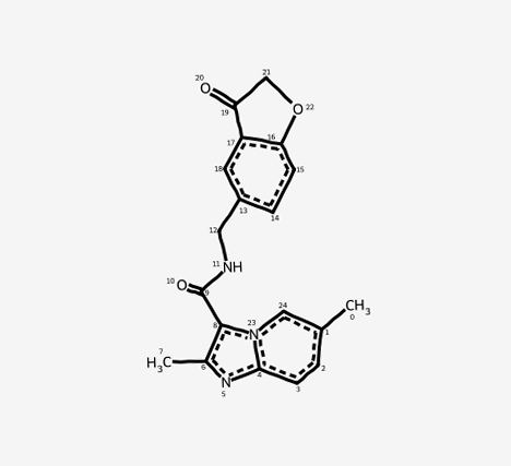 Cc1ccc2nc(C)c(C(=O)NCc3ccc4c(c3)C(=O)CO4)n2c1